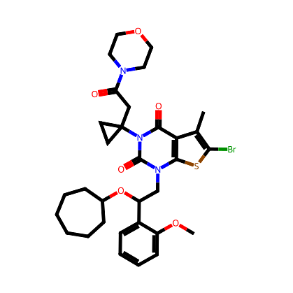 COc1ccccc1C(Cn1c(=O)n(C2(CC(=O)N3CCOCC3)CC2)c(=O)c2c(C)c(Br)sc21)OC1CCCCCC1